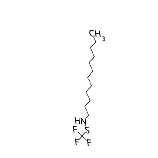 CCCCCCCCCCCCNSC(F)(F)F